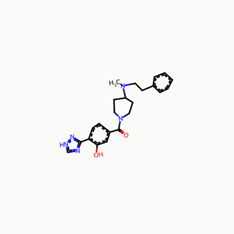 CN(CCc1ccccc1)C1CCN(C(=O)c2ccc(-c3nc[nH]n3)c(O)c2)CC1